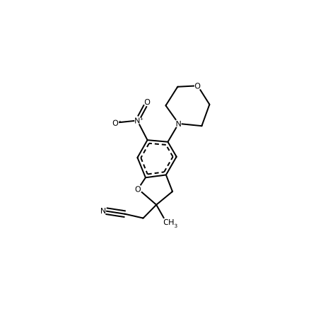 CC1(CC#N)Cc2cc(N3CCOCC3)c([N+](=O)[O-])cc2O1